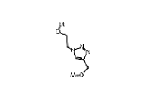 CCOCCn1cc(COC)nn1